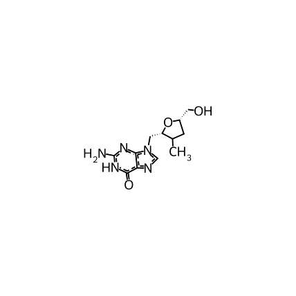 CC1C[C@@H](CO)O[C@H]1Cn1cnc2c(=O)[nH]c(N)nc21